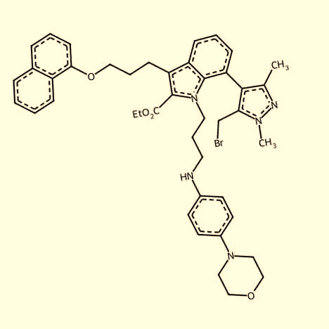 CCOC(=O)c1c(CCCOc2cccc3ccccc23)c2cccc(-c3c(C)nn(C)c3CBr)c2n1CCCNc1ccc(N2CCOCC2)cc1